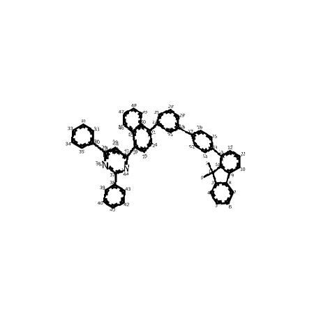 CC1(C)c2ccccc2-c2cccc(-c3ccc(-c4cccc(-c5ccc(-c6cc(-c7ccccc7)nc(-c7ccccc7)n6)c6ccccc56)c4)cc3)c21